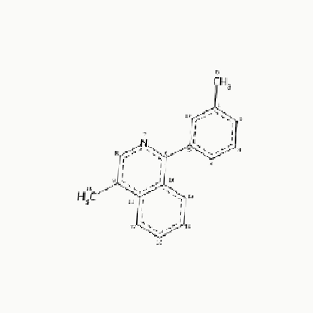 Cc1cccc(-c2ncc(C)c3ccccc23)c1